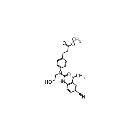 COC(=O)CCc1ccc(N(CCO)C(=O)Nc2ccc(C#N)cc2SC)cc1